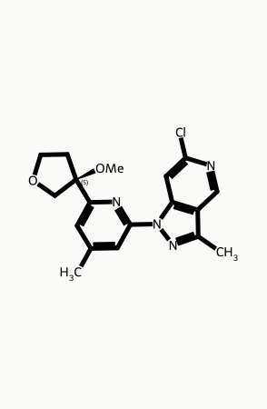 CO[C@]1(c2cc(C)cc(-n3nc(C)c4cnc(Cl)cc43)n2)CCOC1